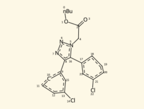 CCCCOC(=O)Cn1nnc(-c2cccc(Cl)c2)c1-c1cccc(Cl)c1